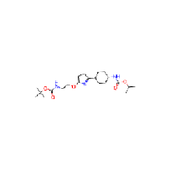 CC(C)OC(=O)NC1CCC(C2=NC(OCCNC(=O)OC(C)(C)C)CC2)CC1